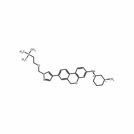 C[C@H]1CCC[C@@H](Nc2ccc3c(c2)OCc2cc(-c4cnn(COCC[Si](C)(C)C)c4)ccc2-3)C1